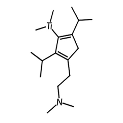 CC(C)C1=[C]([Ti]([CH3])[CH3])C(C(C)C)=C(CCN(C)C)C1